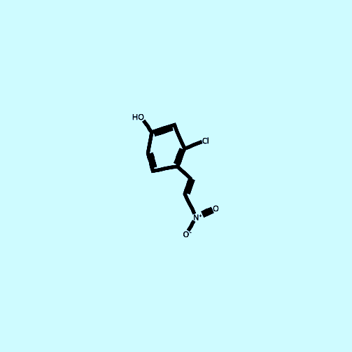 O=[N+]([O-])C=Cc1ccc(O)cc1Cl